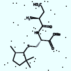 COC(=O)[C@H](CSC1C(C)CCC1(C)C)NC(=O)[C@@H](N)CC(=O)O